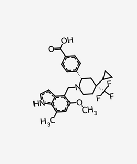 COc1cc(C)c2[nH]ccc2c1CN1CC[C@@](C2CC2)(C(F)(F)F)C[C@H]1c1ccc(C(=O)O)cc1